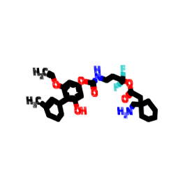 C=COc1cc(OC(=O)NCCC(F)(F)OC(=O)CC2(CN)CCCCC2)cc(O)c1C1C=C(C)CCC1